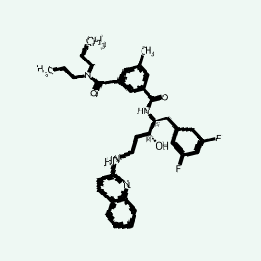 CCCN(CCC)C(=O)c1cc(C)cc(C(=O)N[C@@H](CC2C=C(F)C=C(F)C2)[C@H](O)CCNc2ccc3ccccc3n2)c1